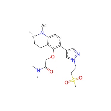 CC(=O)N1c2ccc(-c3cnn(CCS(C)(=O)=O)c3)c(OCC(=O)N(C)C)c2CC[C@@H]1C